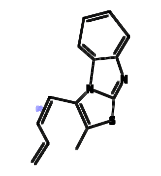 C=C/C=C\c1c(C)sc2nc3ccccc3n12